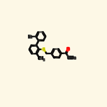 CCc1ccccc1-c1cccc(C)c1SCc1ccc(C(=O)OC)cc1